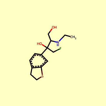 CCNC(CO)C(O)(CF)c1ccc2c(c1)SCC2